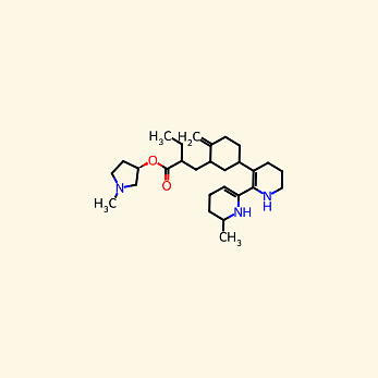 C=C1CCC(C2=C(C3=CCCC(C)N3)NCCC2)CC1CC(CC)C(=O)O[C@@H]1CCN(C)C1